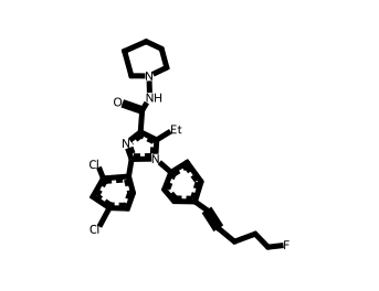 CCc1c(C(=O)NN2CCCCC2)nc(-c2ccc(Cl)cc2Cl)n1-c1ccc(C#CCCCF)cc1